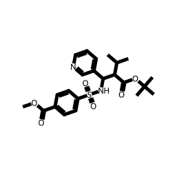 COC(=O)c1ccc(S(=O)(=O)NC(c2cccnc2)C(C(=O)OC(C)(C)C)C(C)C)cc1